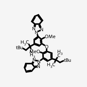 COc1c(Oc2cc(C(C)(C)CC(C)(C)C)cc(-n3nc4ccccc4n3)c2OC)cc(C(C)(C)CC(C)(C)C)cc1-n1nc2ccccc2n1